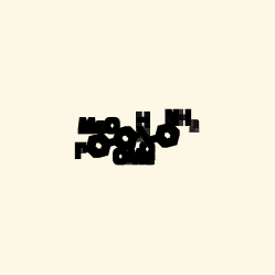 COc1cc(NC(=O)c2cccc(N)c2)cc(OC)c1-c1ccc(F)cc1